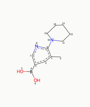 Cc1cc(B(O)O)cnc1N1CCCCC1